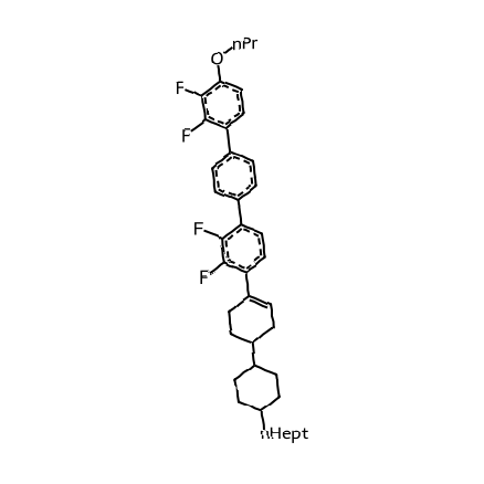 CCCCCCCC1CCC(C2CC=C(c3ccc(-c4ccc(-c5ccc(OCCC)c(F)c5F)cc4)c(F)c3F)CC2)CC1